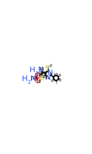 CSc1nc(-c2ccccc2)nc2sc(OC(N)=O)c(N)c12